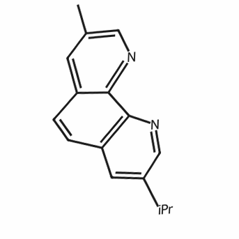 Cc1cnc2c(ccc3cc(C(C)C)cnc32)c1